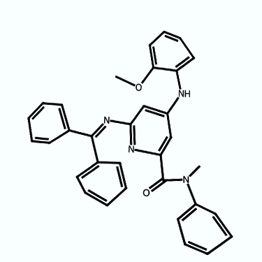 COc1ccccc1Nc1cc(N=C(c2ccccc2)c2ccccc2)nc(C(=O)N(C)c2ccccc2)c1